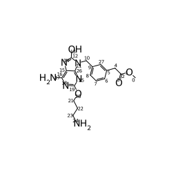 COC(=O)Cc1cccc(Cn2c(O)nc3c(N)nc(OCCCN)nc32)c1